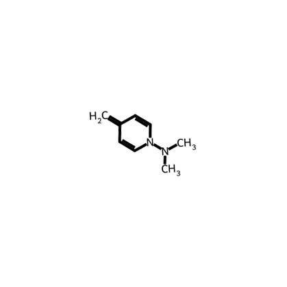 C=C1C=CN(N(C)C)C=C1